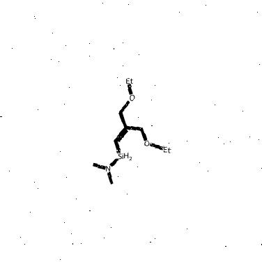 CCOCC(=C[SiH2]N(C)C)COCC